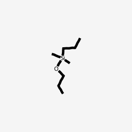 CCCO[Si](C)(C)CCC